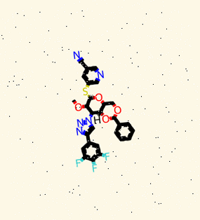 COC1C(n2cc(-c3cc(F)c(F)c(F)c3)nn2)[C@H]2OC(c3ccccc3)OCC2O[C@@H]1Sc1cncc(C#N)c1